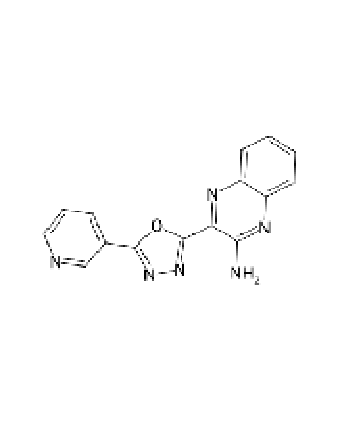 Nc1nc2ccccc2nc1-c1nnc(-c2cccnc2)o1